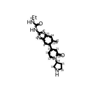 CCNC(=O)Nc1nc2cc(-c3ccn(C4CCNC4)c(=O)c3)c(F)cc2s1